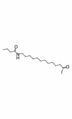 CCCC(=O)NCCCCCCCCCCCC(=O)I